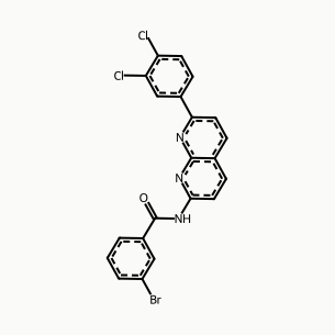 O=C(Nc1ccc2ccc(-c3ccc(Cl)c(Cl)c3)nc2n1)c1cccc(Br)c1